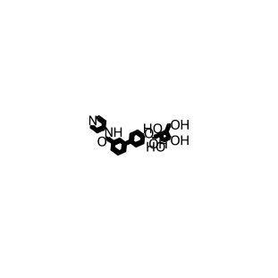 O=C(Nc1ccncc1)c1cccc(-c2ccc(OC(O)C3(O)C(O)C(O)C3CO)cc2)c1